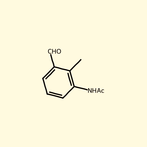 CC(=O)Nc1cccc(C=O)c1C